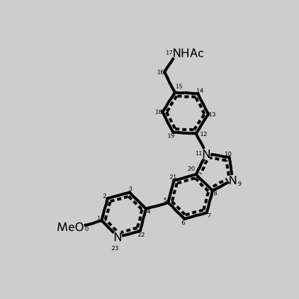 COc1ccc(-c2ccc3ncn(-c4ccc(CNC(C)=O)cc4)c3c2)cn1